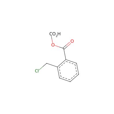 O=C(O)OC(=O)c1ccccc1CCl